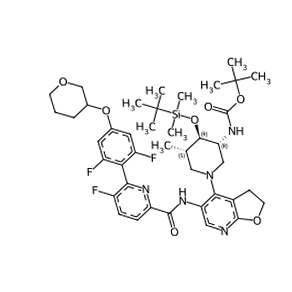 C[C@H]1CN(c2c(NC(=O)c3ccc(F)c(-c4c(F)cc(OC5CCCOC5)cc4F)n3)cnc3c2CCO3)C[C@@H](NC(=O)OC(C)(C)C)[C@@H]1O[Si](C)(C)C(C)(C)C